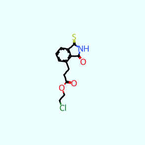 O=C(CCc1cccc2c1C(=O)NC2=S)OCCCl